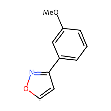 COc1cccc(-c2c[c]on2)c1